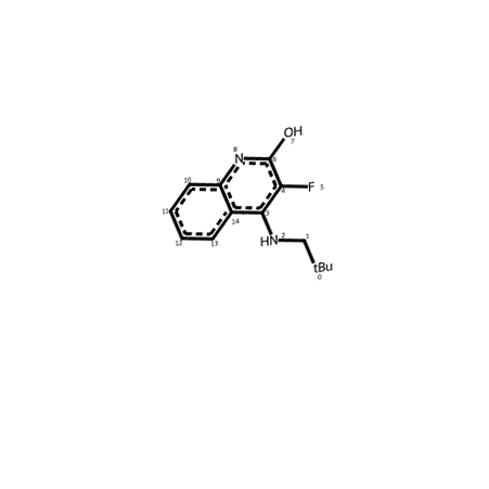 CC(C)(C)CNc1c(F)c(O)nc2ccccc12